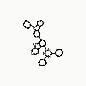 c1ccc(-c2nc(-c3ccccc3)nc(-c3ccc(-c4ccc5c(c4)c4ccccc4n5-c4ccccc4)c4oc5cnccc5c34)n2)cc1